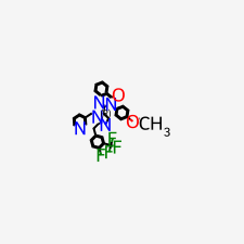 CCOc1ccc(-n2c([C@H]3CN=C(Cc4ccc(F)c(C(F)(F)F)c4)N3Cc3cccnc3)nc3ccccc3c2=O)cc1